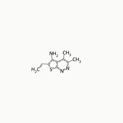 C=Cc1sc2nnc(C)c(C)c2c1N